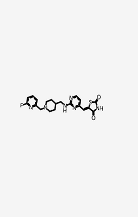 O=C1NC(=O)/C(=C/c2ccnc(NCC3CCN(Cc4cccc(F)n4)CC3)n2)S1